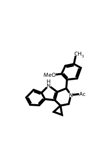 COc1cc(C)ccc1C1c2[nH]c3ccccc3c2C2(CC2)CN1C(C)=O